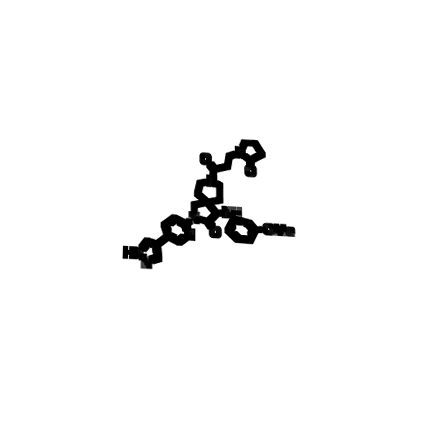 COc1cccc(NC2C(=O)N(c3ccc(-c4cn[nH]c4)cn3)CC23CCN(C(=O)CCN2CCCC2=O)CC3)c1